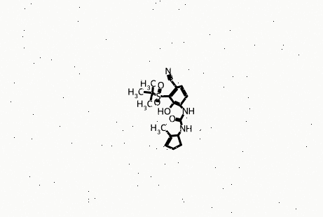 CC1=CCCC1NC(=O)Nc1ccc(C#N)c(S(=O)(=O)C(C)(C)C)c1O